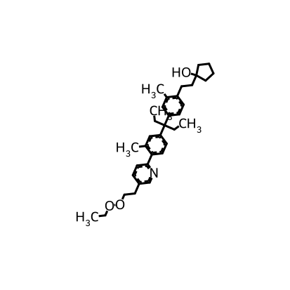 CCOOCCc1ccc(-c2ccc(C(CC)(CC)c3ccc(CCC4(O)CCCC4)c(C)c3)cc2C)nc1